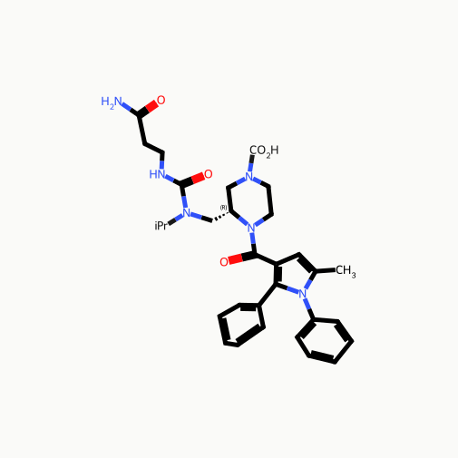 Cc1cc(C(=O)N2CCN(C(=O)O)C[C@H]2CN(C(=O)NCCC(N)=O)C(C)C)c(-c2ccccc2)n1-c1ccccc1